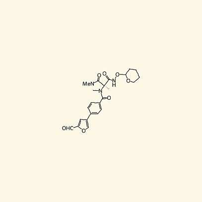 CNC(=O)[C@@](C)(C(=O)NOC1CCCCO1)N(C)C(=O)c1ccc(-c2coc(C=O)c2)cc1